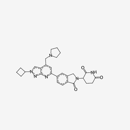 O=C1CCC(N2Cc3cc(-c4cc(CN5CCCC5)c5cn(C6CCC6)nc5n4)ccc3C2=O)C(=O)N1